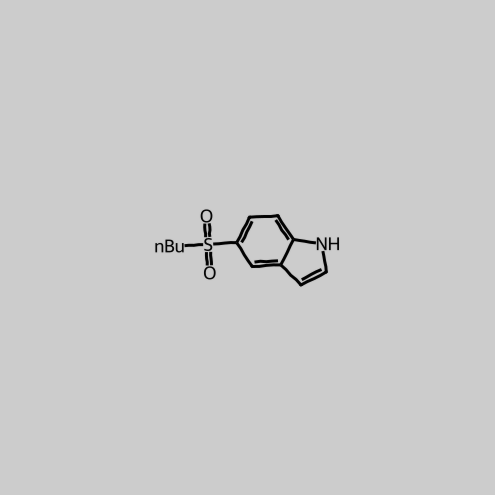 CCCCS(=O)(=O)c1ccc2[nH]ccc2c1